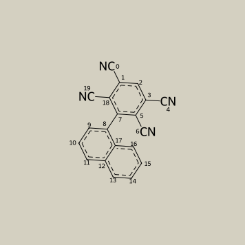 N#Cc1cc(C#N)c(C#N)c(-c2cccc3ccccc23)c1C#N